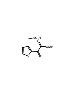 C=C(C(=O)OC)c1cccs1.CS(=O)(=O)O